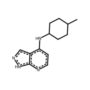 CC1CCC(Nc2ccnc3[nH]ncc23)CC1